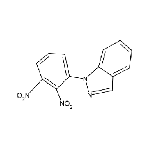 O=[N+]([O-])c1cccc(-n2ncc3ccccc32)c1[N+](=O)[O-]